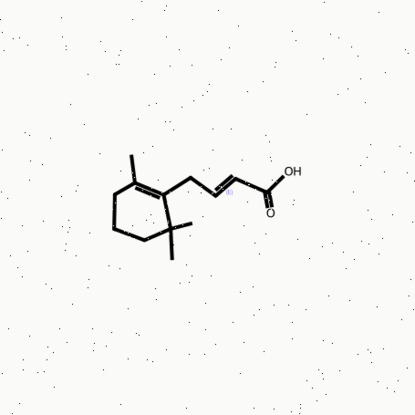 CC1=C(C/C=C/C(=O)O)C(C)(C)CCC1